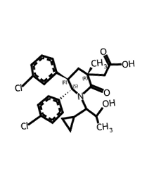 CC(O)C(C1CC1)N1C(=O)[C@@](C)(CC(=O)O)C[C@H](c2cccc(Cl)c2)[C@H]1c1ccc(Cl)cc1